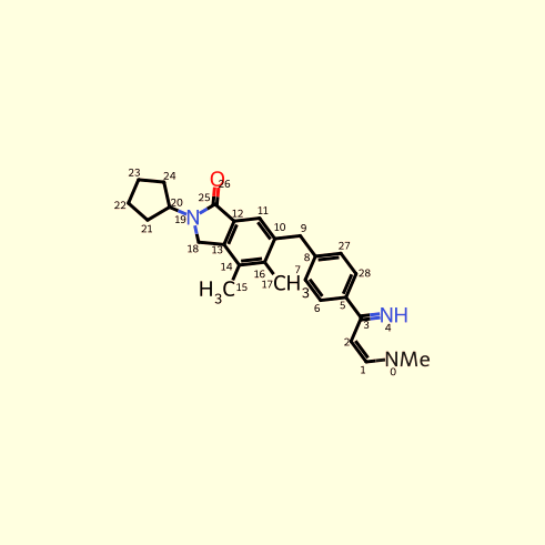 CN/C=C\C(=N)c1ccc(Cc2cc3c(c(C)c2C)CN(C2CCCC2)C3=O)cc1